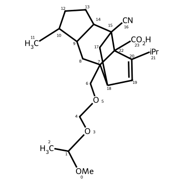 COC(C)OCOCC12CC3C(C)CCC3C3(C#N)CC1C=C(C(C)C)C32C(=O)O